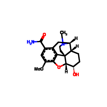 COc1cc(C(N)=O)c2c3c1O[C@H]1[C@@H](O)CC[C@H]4[C@@H](C2)N(C)CC[C@@]341